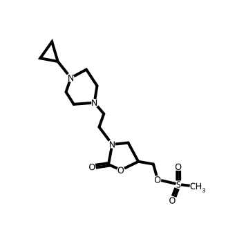 CS(=O)(=O)OCC1CN(CCN2CCN(C3CC3)CC2)C(=O)O1